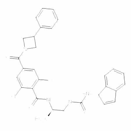 O=C(NC[C@H](NC(=O)c1c(Cl)cc(C(=O)N2CC(c3ccccc3)C2)cc1Cl)C(=O)O)N[C@H]1C=Cc2ccccc21